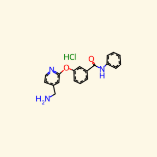 Cl.NCc1ccnc(Oc2cccc(C(=O)Nc3ccccc3)c2)c1